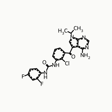 CC(C)n1cc(C(=O)c2cccc(NC(=O)Nc3ccc(F)cc3F)c2Cl)c2c(N)ncnc21